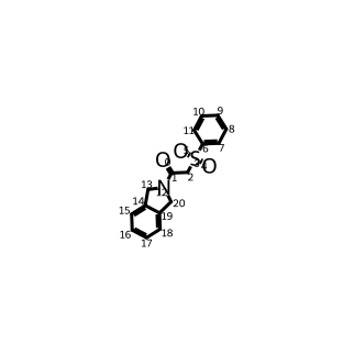 O=C(CS(=O)(=O)c1ccccc1)N1Cc2ccccc2C1